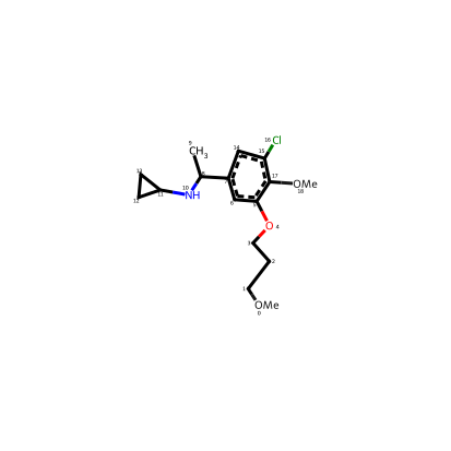 COCCCOc1cc(C(C)NC2CC2)cc(Cl)c1OC